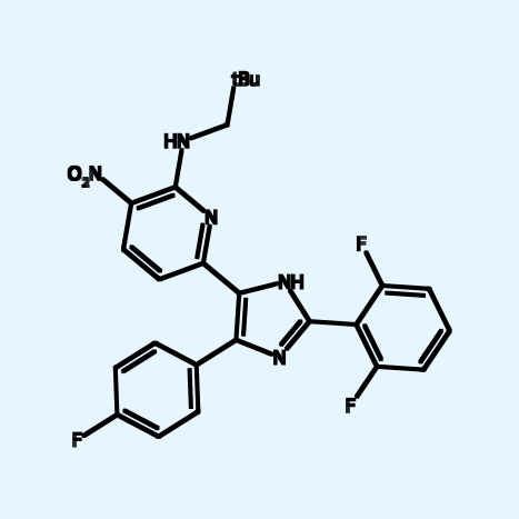 CC(C)(C)CNc1nc(-c2[nH]c(-c3c(F)cccc3F)nc2-c2ccc(F)cc2)ccc1[N+](=O)[O-]